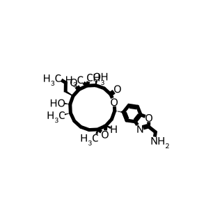 CCC[C@H]1C(=O)C(C)(C)[C@@H](O)CC(=O)O[C@H](c2ccc3oc(CN)nc3c2)C[C@@H]2O[C@]2(C)CCC[C@H](C)[C@@H]1O